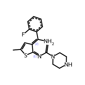 C=C(/N=C1/SC(C)=C/C1=C(/N)c1ccccc1F)N1CCNCC1